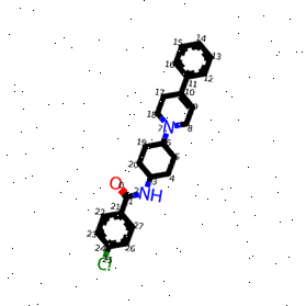 O=C(NC1CCC(N2CC=C(c3ccccc3)CC2)CC1)c1ccc(Cl)cc1